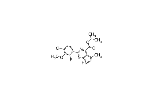 COc1c(Cl)ccc(-c2nc(C(=O)OC(C)C)c3c(C)c[nH]c3n2)c1F